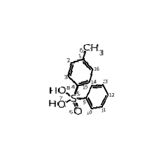 Cc1ccc(S(=O)(O)(O)c2ccccc2)cc1